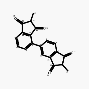 CC1C(=O)c2ccc(-c3cccc4c3C(=O)C(C)C4=O)cc2C1=O